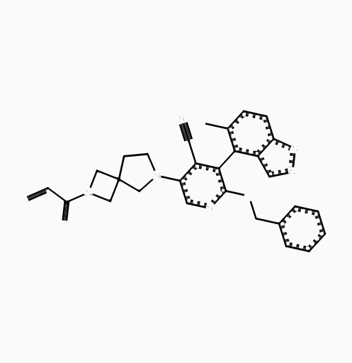 C=CC(=O)N1CC2(CCN(c3cnc(OCc4ccccc4)c(-c4c(C)ccc5[nH]ncc45)c3C#N)C2)C1